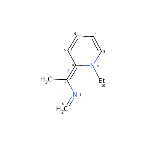 C=N/C(C)=C1/C=CC=CN1CC